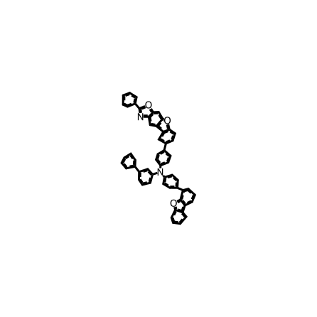 c1ccc(-c2cccc(N(c3ccc(-c4ccc5oc6cc7oc(-c8ccccc8)nc7cc6c5c4)cc3)c3ccc(-c4cccc5c4oc4ccccc45)cc3)c2)cc1